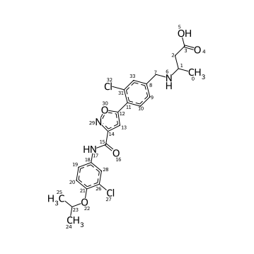 CC(CC(=O)O)NCc1ccc(-c2cc(C(=O)Nc3ccc(OC(C)C)c(Cl)c3)no2)c(Cl)c1